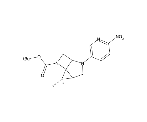 C[C@H]1C2CN(c3ccc([N+](=O)[O-])nc3)C3CN(C(=O)OC(C)(C)C)C231